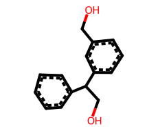 OCc1cccc(C(CO)c2ccccc2)c1